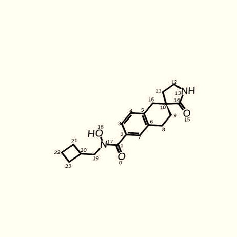 O=C(c1ccc2c(c1)CC[C@]1(CCNC1=O)C2)N(O)CC1CCC1